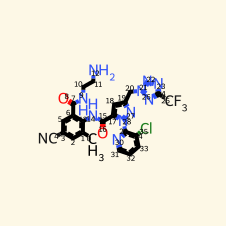 Cc1cc(C#N)cc(C(=O)NCCN)c1NC(=O)c1cc(Cn2nnc(C(F)(F)F)n2)nn1-c1ncccc1Cl